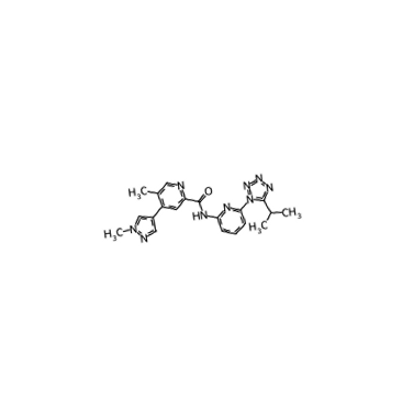 Cc1cnc(C(=O)Nc2cccc(-n3nnnc3C(C)C)n2)cc1-c1cnn(C)c1